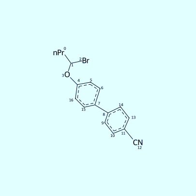 CCCC(Br)Oc1ccc(-c2ccc(C#N)cc2)cc1